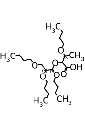 CCCCOC[C@H](OCCCC)[C@H](OCCCC)OC(C(=O)O)[C@H](C)OCCCC